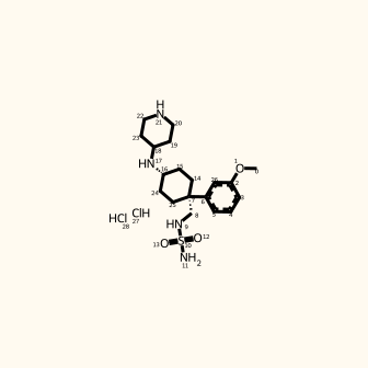 COc1cccc([C@]2(CNS(N)(=O)=O)CC[C@@H](NC3CCNCC3)CC2)c1.Cl.Cl